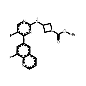 CC(C)(C)OC(=O)N1CC(Nc2ncc(F)c(-c3cc(F)c4ncccc4c3)n2)C1